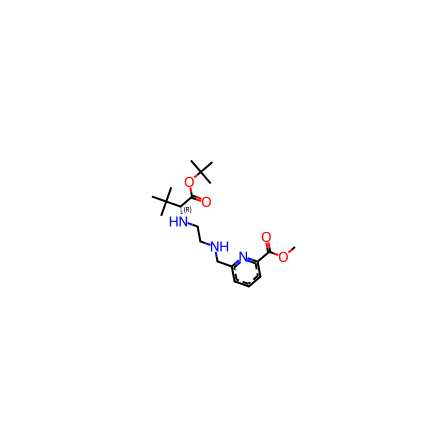 COC(=O)c1cccc(CNCCN[C@@H](C(=O)OC(C)(C)C)C(C)(C)C)n1